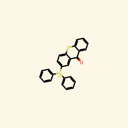 O=c1c2ccccc2sc2ccc([SH](c3ccccc3)c3ccccc3)cc12